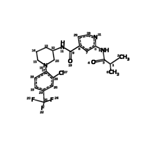 CC(C)C(=O)Nc1cc(C(=O)NC2CCCN(c3ccc(C(F)(F)F)cc3Cl)C2)ccn1